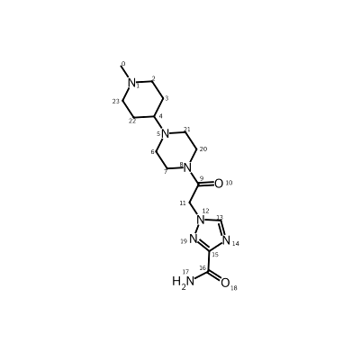 CN1CCC(N2CCN(C(=O)Cn3cnc(C(N)=O)n3)CC2)CC1